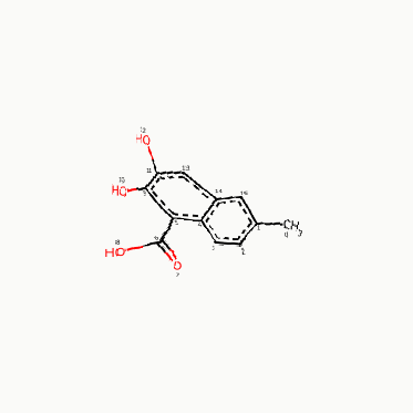 Cc1ccc2c(C(=O)O)c(O)c(O)cc2c1